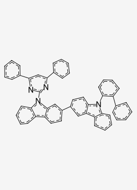 c1ccc(-c2cc(-c3ccccc3)nc(-n3c4ccccc4c4ccc(-c5ccc6c(c5)c5ccccc5n6-c5ccccc5-c5ccccc5)cc43)n2)cc1